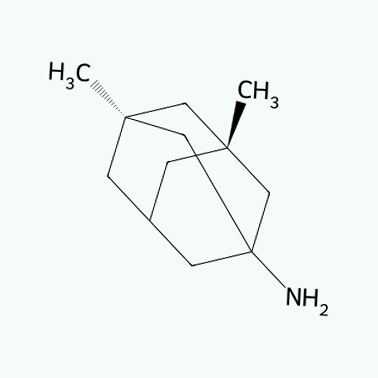 C[C@]12CC3CC(N)(C1)C[C@@](C)(C3)C2